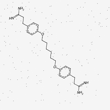 N=C(N)CCc1ccc(OCCCCCCOc2ccc(CCC(=N)N)cc2)cc1